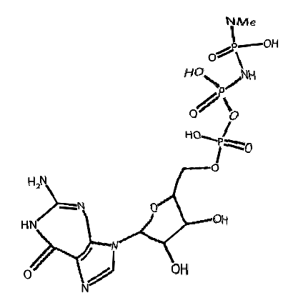 CNP(=O)(O)NP(=O)(O)OP(=O)(O)OCC1OC(n2cnc3c(=O)[nH]c(N)nc32)C(O)C1O